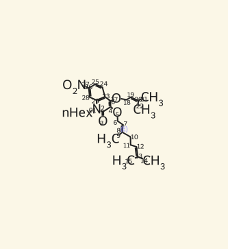 CCCCCCn1c(=O)c(OC/C=C(\C)CCC=C(C)C)c(OCC=C(C)C)c2ccc([N+](=O)[O-])cc21